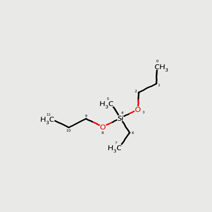 CCCO[Si](C)(CC)OCCC